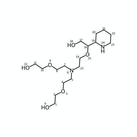 OCCOCCN(CCOCCO)CCOC(CO)C1CCCCN1